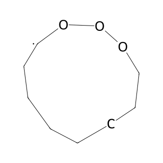 [CH]1CCCCCCCOOO1